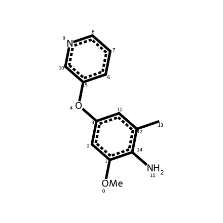 COc1cc(Oc2cccnc2)cc(C)c1N